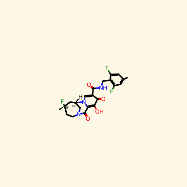 Cc1cc(F)c(CNC(=O)c2cn3c(c(O)c2=O)C(=O)N2CC[C@](C)(F)C[C@H]3C2)c(F)c1